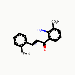 CCCCCc1ccccc1/C=C/C(=O)c1cccc(C(=O)O)c1N